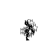 Cc1nc(NCC(F)(F)F)nc(N[C@@H]2C[C@H](C(O)C(=O)NCC3CC3)[C@@H](O)[C@H]2O)c1-c1nc2c(C)nccc2s1